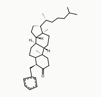 CC(C)CCC[C@@H](C)[C@H]1CC[C@H]2[C@@H]3CCC4[C@H](Cc5ccccc5)C(=O)CC[C@]4(C)[C@H]3CC[C@]12C